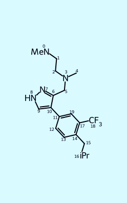 CNCCN(C)Cc1n[nH]cc1-c1ccc(CC(C)C)c(C(F)(F)F)c1